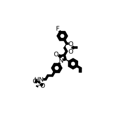 C=Cc1ccc([C@@H]2C(CC[C@H](OC(C)=O)c3ccc(F)cc3)C(=O)N2c2ccc(CCCNS(C)(=O)=O)cc2)cc1